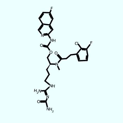 CN(C(=O)CCc1cccc(F)c1Cl)[C@@H](CCCN/C(N)=N/C(N)=O)COC(=O)Nc1cc2cc(F)ccc2cn1